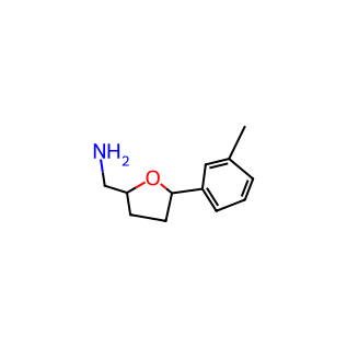 Cc1cccc(C2CCC(CN)O2)c1